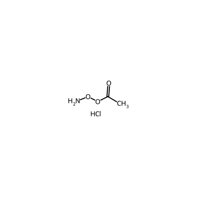 CC(=O)OON.Cl